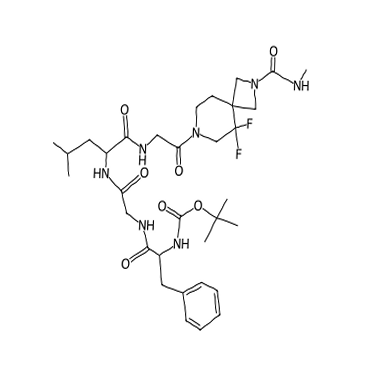 CNC(=O)N1CC2(CCN(C(=O)CNC(=O)C(CC(C)C)NC(=O)CNC(=O)C(Cc3ccccc3)NC(=O)OC(C)(C)C)CC2(F)F)C1